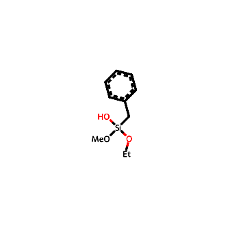 CCO[Si](O)(Cc1ccccc1)OC